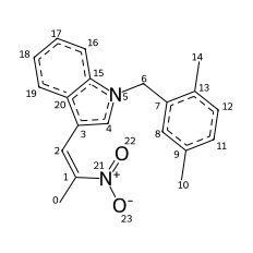 CC(=Cc1cn(Cc2cc(C)ccc2C)c2ccccc12)[N+](=O)[O-]